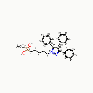 CC(=O)OS(=O)(=O)CCCCCn1nc(-c2ccccc2)c(-c2ccccc2)c1-c1ccccc1